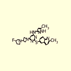 Cc1ccc2cc(Sc3nc(Nc4cc(C)[nH]n4)cc(N4CC(N5CC[C@@H](F)C5)C4)n3)ccc2n1